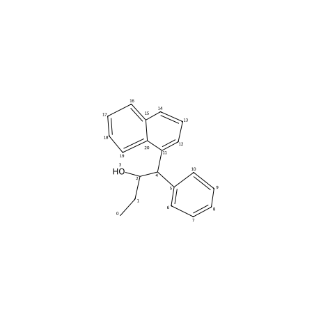 CCC(O)C(c1ccccc1)c1cccc2ccccc12